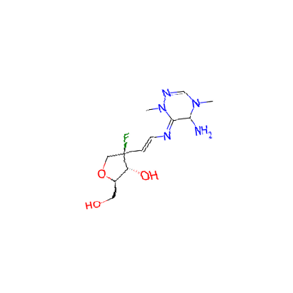 CN1N=CN(C)C(N)/C1=N/C=C/[C@@]1(F)CO[C@H](CO)[C@H]1O